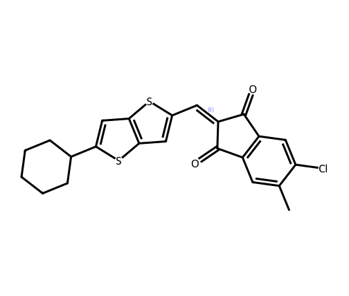 Cc1cc2c(cc1Cl)C(=O)/C(=C/c1cc3sc(C4CCCCC4)cc3s1)C2=O